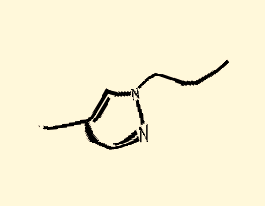 [CH2]c1cnn(CCC)c1